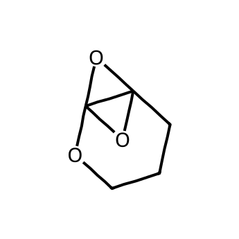 C1COC23OC2(C1)O3